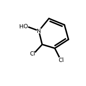 ON1C=CC=C(Cl)C1Cl